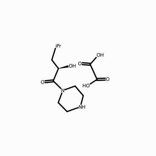 CC(C)C[C@@H](O)C(=O)N1CCNCC1.O=C(O)C(=O)O